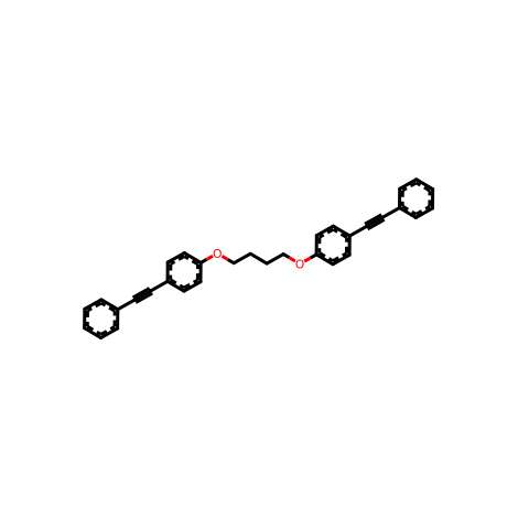 C(#Cc1ccc(OCCCCOc2ccc(C#Cc3ccccc3)cc2)cc1)c1ccccc1